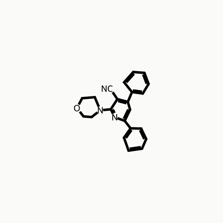 N#Cc1c(-c2ccccc2)cc(-c2ccccc2)nc1N1CCOCC1